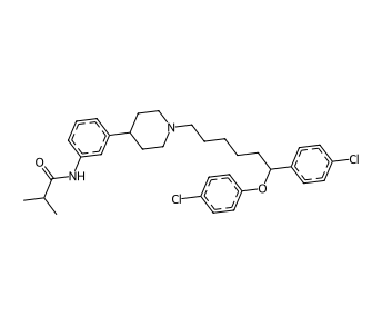 CC(C)C(=O)Nc1cccc(C2CCN(CCCCCC(Oc3ccc(Cl)cc3)c3ccc(Cl)cc3)CC2)c1